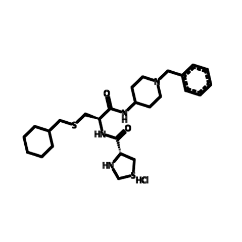 Cl.O=C(N[C@@H](CSCC1CCCCC1)C(=O)NC1CCN(Cc2ccccc2)CC1)[C@@H]1CSCN1